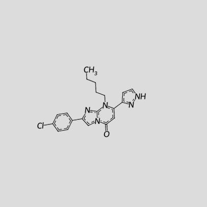 CCCCCn1c(-c2cc[nH]n2)cc(=O)n2cc(-c3ccc(Cl)cc3)nc12